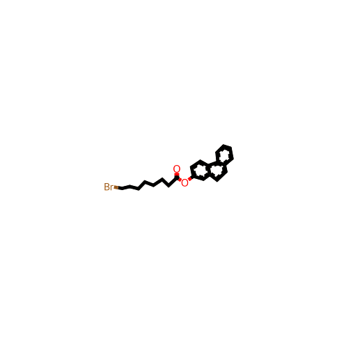 O=C(CCCCCCCBr)Oc1ccc2c(ccc3ccccc32)c1